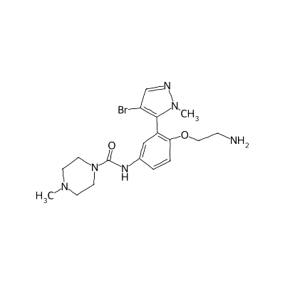 CN1CCN(C(=O)Nc2ccc(OCCN)c(-c3c(Br)cnn3C)c2)CC1